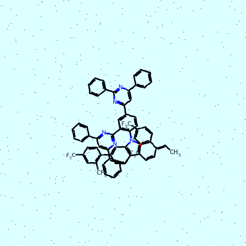 C/C=C(\C=C/c1cn(-c2ccc(-c3cc(-c4ccccc4)nc(-c4ccccc4)n3)cc2-c2nc(-c3ccccc3)cc(-c3ccccc3)n2)c2cc(-c3ccc(C(F)(F)F)cc3C(F)(F)F)ccc12)c1ccc(C(F)(F)F)cc1C(F)(F)F